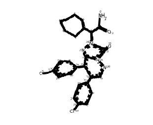 NC(=O)C(C1CCCCC1)n1nc2c(-c3ccc(Cl)cc3)c(-c3ccc(Cl)cc3)cnn2c1=O